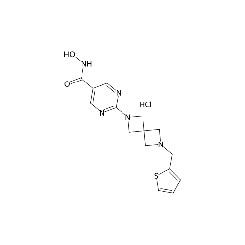 Cl.O=C(NO)c1cnc(N2CC3(CN(Cc4cccs4)C3)C2)nc1